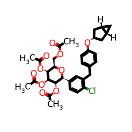 CC(=O)OC[C@H]1O[C@H](c2ccc(Cl)c(Cc3ccc(O[C@@H]4C[C@@H]5C[C@@H]5C4)cc3)c2)[C@H](OC(C)=O)[C@@H](OC(C)=O)[C@@H]1OC(C)=O